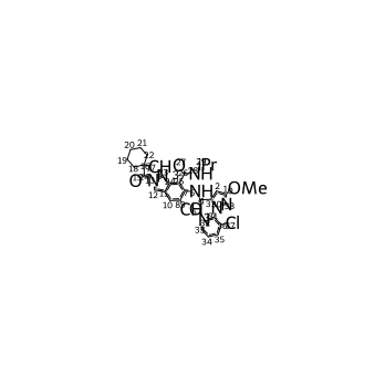 COc1cc(C(=O)Nc2c(C)cc3cn(C(=O)C4(C)CCCCC4)nc3c2C(=O)NC(C)C)n(-c2ncccc2Cl)n1